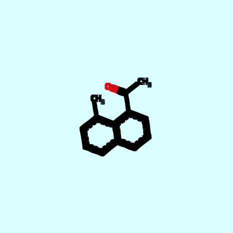 CC(=O)c1cccc2cccc(C)c12